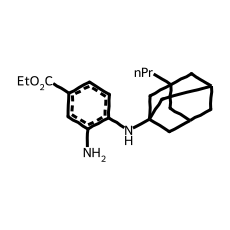 CCCC12CC3CC(C1)CC(Nc1ccc(C(=O)OCC)cc1N)(C3)C2